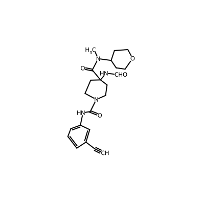 C#Cc1cccc(NC(=O)N2CCC(NC=O)(C(=O)N(C)C3CCOCC3)CC2)c1